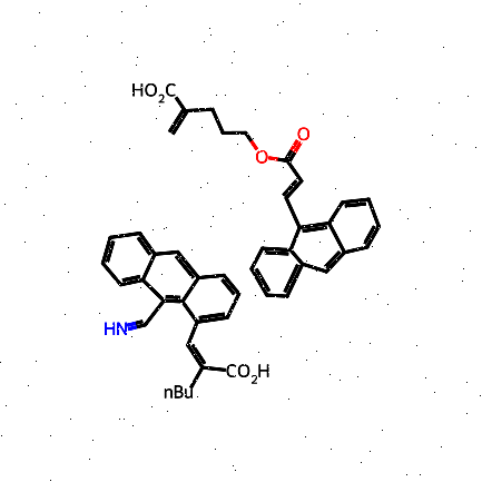 C=C(CCCOC(=O)C=Cc1c2ccccc2cc2ccccc12)C(=O)O.CCCCC(=Cc1cccc2cc3ccccc3c(C=N)c12)C(=O)O